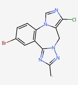 [CH2]c1nc2n(n1)Cc1c(Cl)ncn1-c1ccc(Br)cc1-2